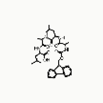 CC(C)CC(NC(=O)C(C)NC(=O)C(CC(C)C)NC(=O)C(C)NC(=O)OCC1c2ccccc2-c2ccccc21)C(=O)O